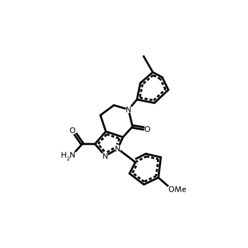 COc1ccc(-n2nc(C(N)=O)c3c2C(=O)N(c2cccc(C)c2)CC3)cc1